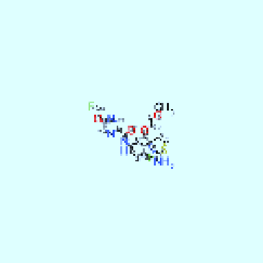 COCC1CC2CSC(N)=NC2(c2cc(NC(=O)c3cnc(OCF)cn3)ccc2F)CO1